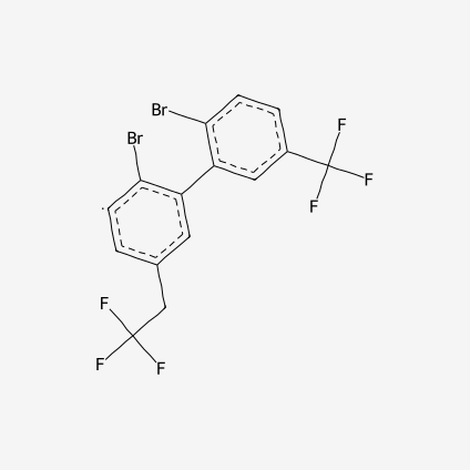 FC(F)(F)Cc1c[c]c(Br)c(-c2cc(C(F)(F)F)ccc2Br)c1